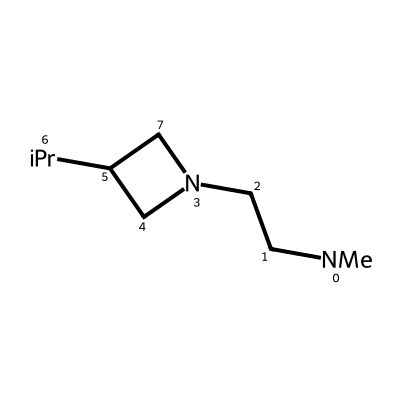 CNCCN1CC(C(C)C)C1